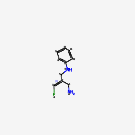 NC/C(=C\F)CNc1ccccc1